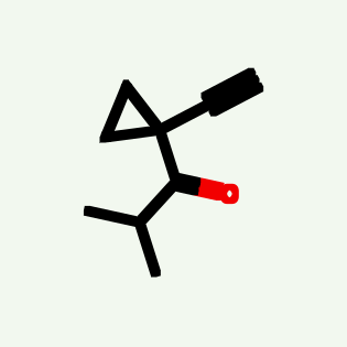 C#CC1(C(=O)C(C)C)CC1